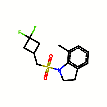 Cc1cccc2c1N(S(=O)(=O)CC1CC(F)(F)C1)CC2